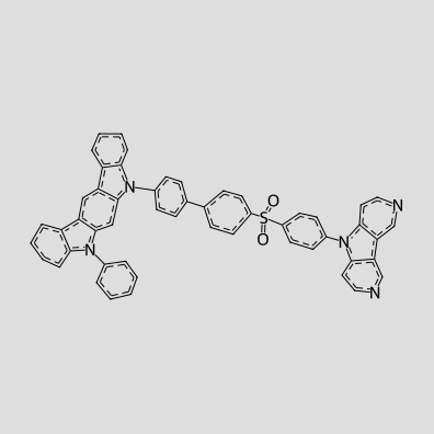 O=S(=O)(c1ccc(-c2ccc(-n3c4ccccc4c4cc5c6ccccc6n(-c6ccccc6)c5cc43)cc2)cc1)c1ccc(-n2c3ccncc3c3cnccc32)cc1